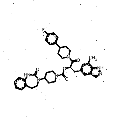 Cc1cc(C[C@@H](OC(=O)N2CCC(N3CCc4ccccc4NC3=O)CC2)C(=O)N2CCC(c3ccc(F)cc3)CC2)cc2cn[nH]c12